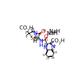 CC1(C)S[C@@H]2[C@H](NC(=O)c3nc4ccccc4nc3C(=O)O)C(=O)N2[C@H]1C(=O)O.[NaH].[NaH]